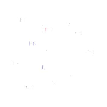 CC(C)N=C(NC(C)C)C1(C(=O)O)C(C=O)C1(C)C